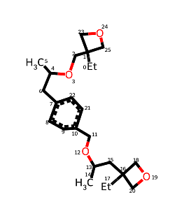 CCC1(COC(C)Cc2ccc(COC(C)CC3(CC)COC3)cc2)COC1